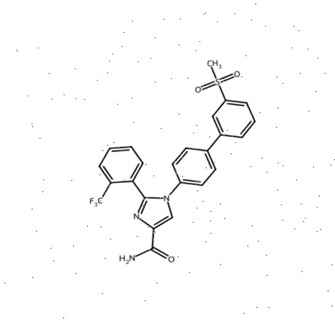 CS(=O)(=O)c1cccc(-c2ccc(-n3cc(C(N)=O)nc3-c3ccccc3C(F)(F)F)cc2)c1